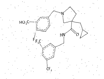 O=C(O)c1cc(CN2CCC(CC3CC3)(C(=O)NCc3cc(C(F)(F)F)cc(C(F)(F)F)c3)C2)ccc1F